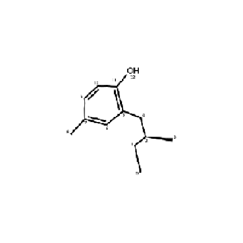 CC[C@H](C)Cc1cc(C)ccc1O